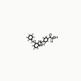 O=C(NO)c1ccc(-c2nc3c(OCc4ccccc4)cccc3[nH]2)cc1